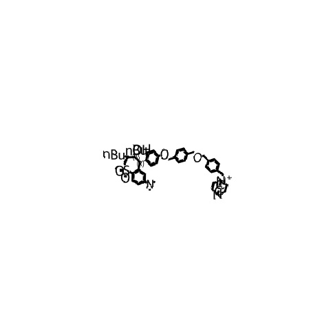 CCCCC1(CCCC)CS(=O)(=O)c2ccc(N(C)C)cc2[C@@H](c2ccc(OCc3ccc(COCc4ccc(C[N+]56CCN(CC5)CC6)cc4)cc3)cc2)[C@H]1O